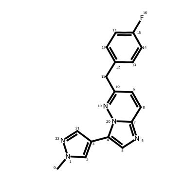 Cn1cc(-c2cnc3ccc(Cc4ccc(F)cc4)nn23)cn1